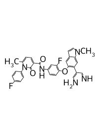 Cc1ccc(C(=O)Nc2ccc(Oc3cc4ccn(C)c4cc3/C(C=N)=C/N)c(F)c2)c(=O)n1-c1ccc(F)cc1